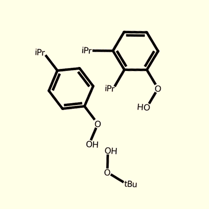 CC(C)(C)OO.CC(C)c1ccc(OO)cc1.CC(C)c1cccc(OO)c1C(C)C